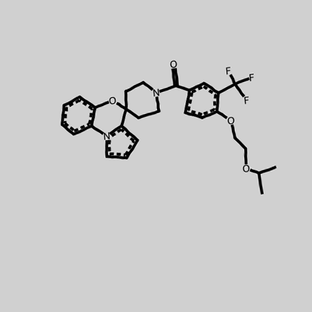 CC(C)OCCOc1ccc(C(=O)N2CCC3(CC2)Oc2ccccc2-n2cccc23)cc1C(F)(F)F